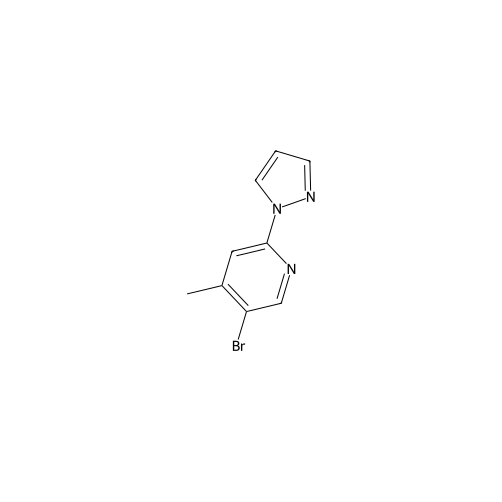 Cc1cc(-n2cccn2)ncc1Br